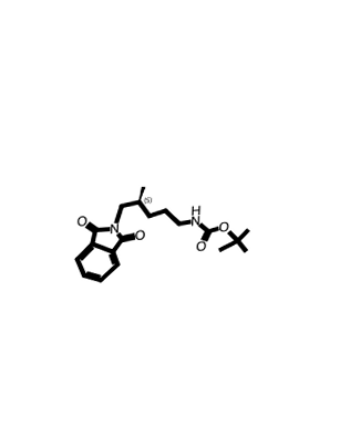 C[C@@H](CCCNC(=O)OC(C)(C)C)CN1C(=O)c2ccccc2C1=O